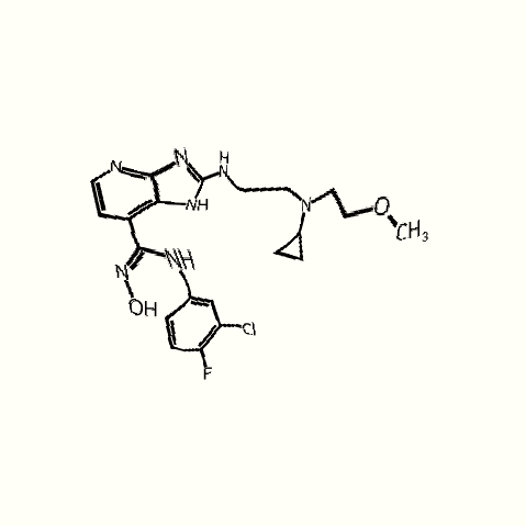 COCCN(CCNc1nc2nccc(/C(=N/O)Nc3ccc(F)c(Cl)c3)c2[nH]1)C1CC1